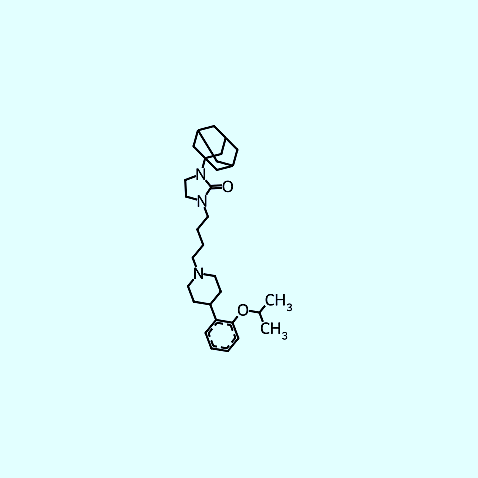 CC(C)Oc1ccccc1C1CCN(CCCCN2CCN(C34CC5CC(CC(C5)C3)C4)C2=O)CC1